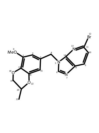 COc1cc(Cn2cnc3ccc(Br)nc32)cc2c1OCC(C)O2